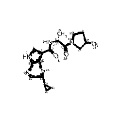 C[C@@H](NC(=O)c1c[nH]c2ncc(C3CC3)nc12)C(=O)N1CCC(C#N)C1